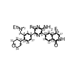 CCN(C)Cc1cc(-c2nc(-c3ccc4c(=O)[nH]cc(F)c4c3)c(N)nc2F)ccc1C1CCOCC1